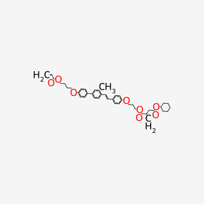 C=CC(=O)OCCCCOc1ccc(-c2ccc(/C=C/c3ccc(OCCCOC(=O)C(=C)CC(=O)OC4CCCCC4)cc3)c(C)c2)cc1